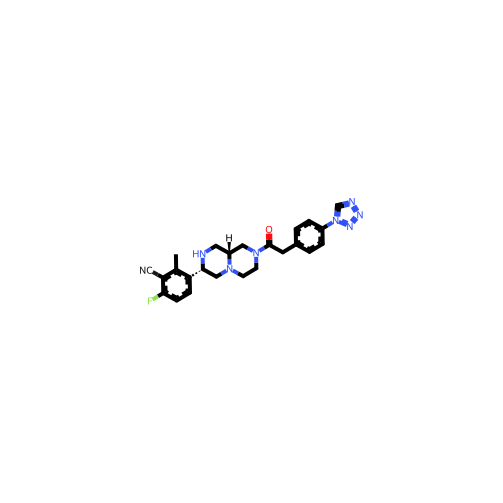 Cc1c([C@H]2CN3CCN(C(=O)Cc4ccc(-n5cnnn5)cc4)C[C@H]3CN2)ccc(F)c1C#N